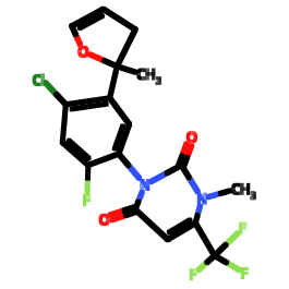 Cn1c(C(F)(F)F)cc(=O)n(-c2cc(C3(C)CC=CO3)c(Cl)cc2F)c1=O